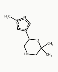 Cn1cc(C2CNCC(C)(C)O2)cn1